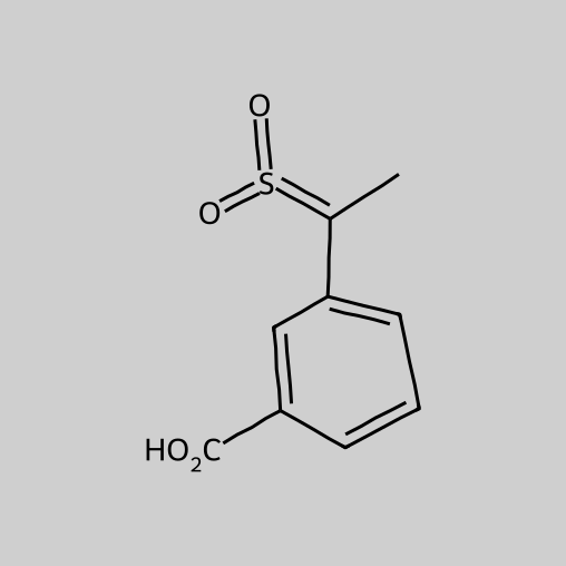 CC(c1cccc(C(=O)O)c1)=S(=O)=O